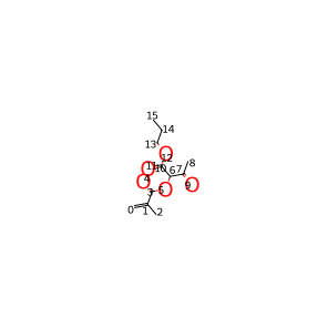 C=C(C)C(=O)OC(C(C)=O)C(=O)OCCC